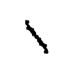 C=CC(=O)OCCCCOC(=O)C1CCC(C(=O)Oc2ccc(OC(=O)CCc3ccc(CCC(=O)Oc4ccc(OC(=O)C5CCC(C(=O)OCCCCOC(=O)C=C)CC5)cc4)cc3)cc2)CC1